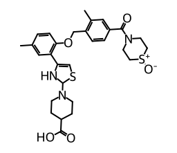 Cc1ccc(OCc2ccc(C(=O)N3CC[S+]([O-])CC3)cc2C)c(C2=CSC(N3CCC(C(=O)O)CC3)N2)c1